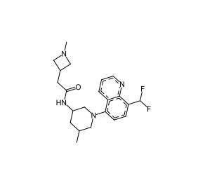 CC1CC(NC(=O)CC2CN(C)C2)CN(c2ccc(C(F)F)c3ncccc23)C1